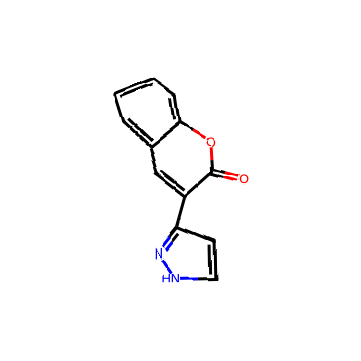 O=c1oc2ccccc2cc1-c1cc[nH]n1